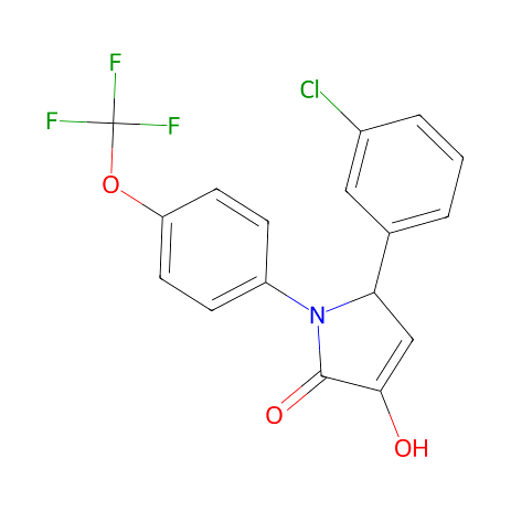 O=C1C(O)=CC(c2cccc(Cl)c2)N1c1ccc(OC(F)(F)F)cc1